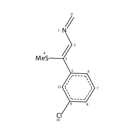 C=N/C=C(\SC)c1cccc(Cl)c1